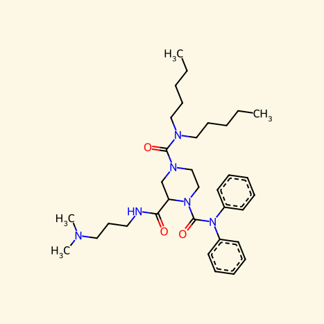 CCCCCN(CCCCC)C(=O)N1CCN(C(=O)N(c2ccccc2)c2ccccc2)C(C(=O)NCCCN(C)C)C1